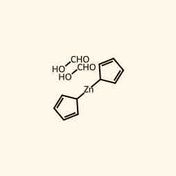 C1=C[CH]([Zn][CH]2C=CC=C2)C=C1.O=CO.O=CO